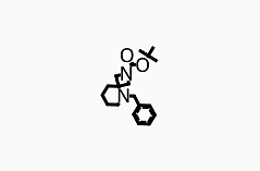 CC(C)(C)OC(=O)N1CC2(CCCCN2Cc2ccccc2)C1